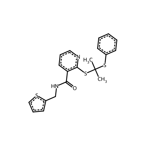 CC(C)(Sc1ccccc1)Sc1ncccc1C(=O)NCc1cccs1